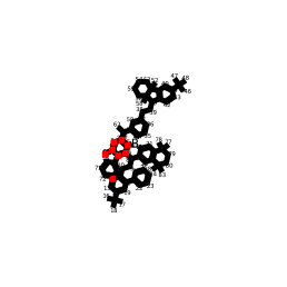 Cc1cc(C)c2c(c1)C(CCc1ccc(C(C)(C)C)cc1-c1ccccc1)c1cc3c(cc1B2c1ccc(CCC2c4ccc(C(C)(C)C)cc4C4(C)CCCCC24C)cc1C(C)c1ccc2c(c1)sc1ccccc12)C(C)(C)CCC3(C)C